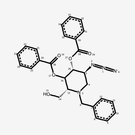 [N-]=[N+]=N[C@H]1CN(Cc2ccccc2)[C@H](CO)C(OC(=O)c2ccccc2)[C@@H]1OC(=O)c1ccccc1